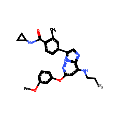 Cc1cc(-c2cnc3c(NCCC(F)(F)F)cc(Oc4cccc(OC(C)C)c4)nn23)ccc1C(=O)NC1CC1